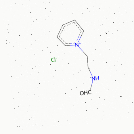 O=CNCC[n+]1ccccc1.[Cl-]